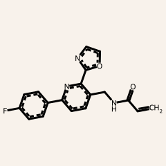 C=CC(=O)NCc1ccc(-c2ccc(F)cc2)nc1-c1ncco1